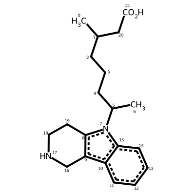 CC(CCCC(C)n1c2c(c3ccccc31)CNCC2)CC(=O)O